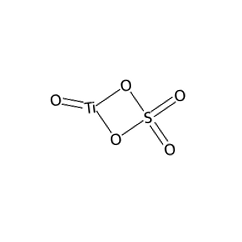 [O]=[Ti]1[O]S(=O)(=O)[O]1